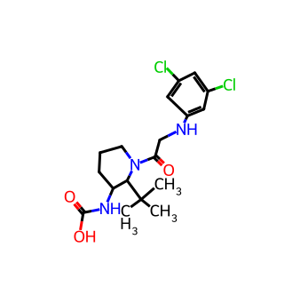 CC(C)(C)C1C(NC(=O)O)CCCN1C(=O)CNc1cc(Cl)cc(Cl)c1